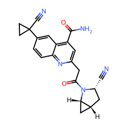 N#C[C@@H]1C[C@@H]2C[C@@H]2N1C(=O)Cc1cc(C(N)=O)c2cc(C3(C#N)CC3)ccc2n1